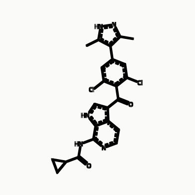 Cc1n[nH]c(C)c1-c1cc(Cl)c(C(=O)c2c[nH]c3c(NC(=O)C4CC4)nccc23)c(Cl)c1